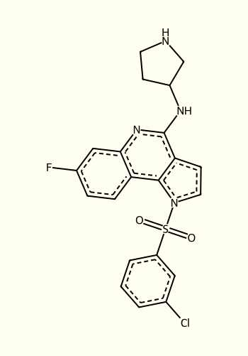 O=S(=O)(c1cccc(Cl)c1)n1ccc2c(NC3CCNC3)nc3cc(F)ccc3c21